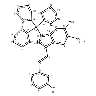 Nc1cc2c(C=Cc3cccc(F)c3)nn(C(c3ccccc3)(c3ccccc3)c3ccccc3)c2cc1F